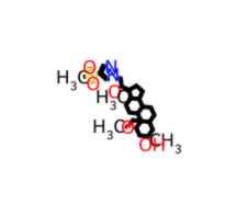 COCC12CCC(C)(O)CC1CCC1C3CCC(C(=O)Cn4cc(S(C)(=O)=O)cn4)C3(C)CCC12